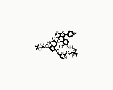 Cc1c(-c2c(-c3ccc(F)cc3)sc3ncnc(OC(Cc4cc(OCC(=O)OC(C)(C)C)ccc4OCc4ccnc(OCCC(F)(F)F)n4)C(=O)O)c23)ccc(N)c1Cl